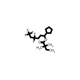 CCC(C)(C)C(=O)OC(CCC(F)(F)CC(F)(F)F)C1CCCC1